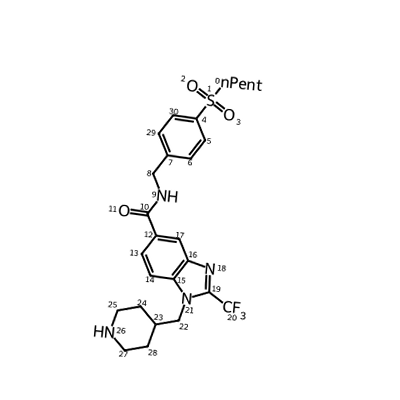 CCCCCS(=O)(=O)c1ccc(CNC(=O)c2ccc3c(c2)nc(C(F)(F)F)n3CC2CCNCC2)cc1